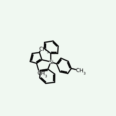 CC1=C([Si](c2ccccc2)(c2ccccc2)c2ccc(C)cc2)C(C)C=C1